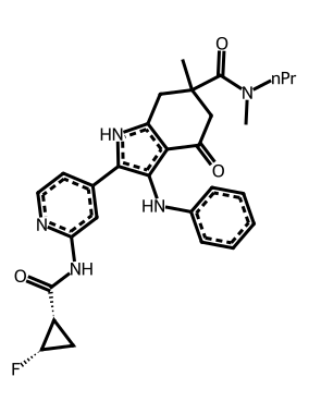 CCCN(C)C(=O)C1(C)CC(=O)c2c([nH]c(-c3ccnc(NC(=O)[C@@H]4C[C@@H]4F)c3)c2Nc2ccccc2)C1